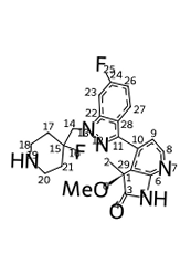 CO[C@]1(C)C(=O)Nc2nccc(-c3nn(CC4(F)CCNCC4)c4cc(F)ccc34)c21